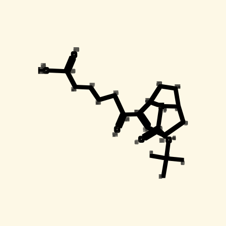 CC(C)(C)OC(=O)N1C2CCC=C(C(=O)CCCCC(=O)O)C1CC2